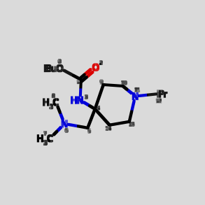 CC(C)COC(=O)NC1(CN(C)C)CCN(C(C)C)CC1